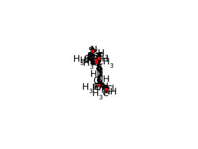 CNc1nc(Nc2ccc(C(=O)NCCNCC3CCC(CSC(C)(C)[C@H](NC(=O)C4(F)CC4)C(=O)N4CCCC4C(=O)N[C@@H](C)c4ccc(-c5scnc5C)cc4)CC3)cc2OC)ncc1Cl